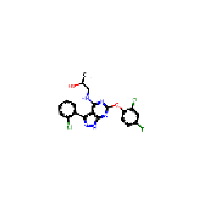 CC(O)CNc1nc(Oc2ccc(F)cc2Cl)nc2[nH]nc(-c3ccccc3Cl)c12